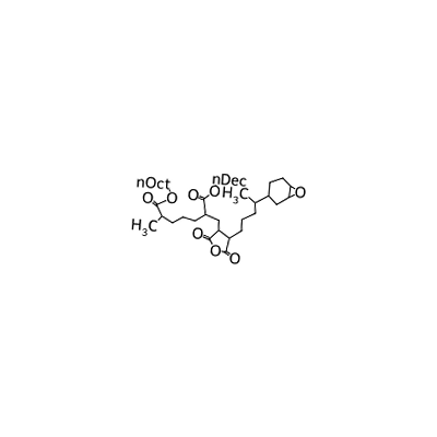 CCCCCCCCCCOC(=O)C(CCCC(C)C(=O)OCCCCCCCC)CC1C(=O)OC(=O)C1CCCC(C)C1CCC2OC2C1